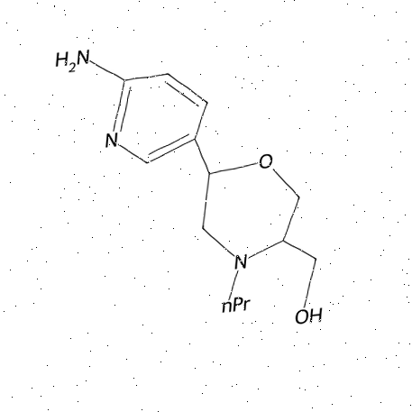 CCCN1CC(c2ccc(N)nc2)OCC1CO